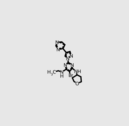 CCNc1nc(-n2cc(-c3ccncn3)cn2)nc(NC2CCOCC2)c1Br